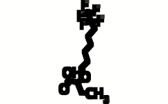 CCC(OCCCCCCC(F)(F)C(F)(F)F)C(=O)O